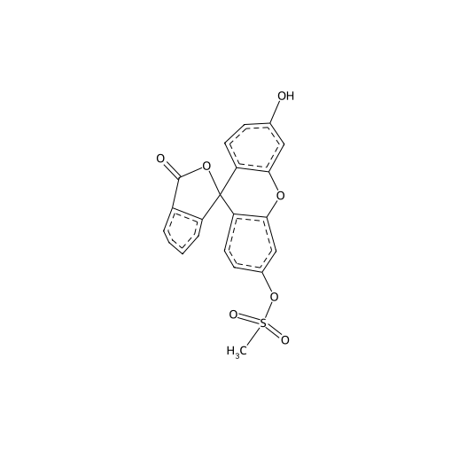 CS(=O)(=O)Oc1ccc2c(c1)Oc1cc(O)ccc1C21OC(=O)c2ccccc21